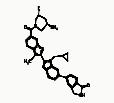 Cc1c(-c2cc3ccc(-c4ccc5c(c4)CNC5=O)cc3n2CC2CC2)nn2cc(C(=O)N3C[C@H](N)C[C@@H](F)C3)ccc12